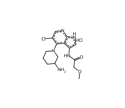 COCC(=O)Nc1c[nH]c2ncc(Cl)c(N3CCCC(N)C3)c12.Cl